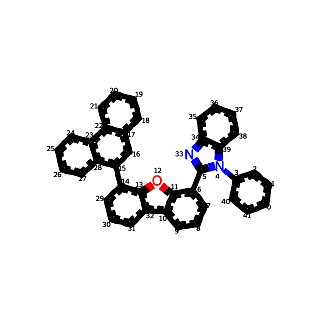 c1ccc(-n2c(-c3cccc4c3oc3c(-c5cc6ccccc6c6ccccc56)cccc34)nc3ccccc32)cc1